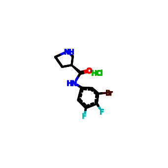 Cl.O=C(Nc1cc(F)c(F)c(Br)c1)[C@H]1CCNC1